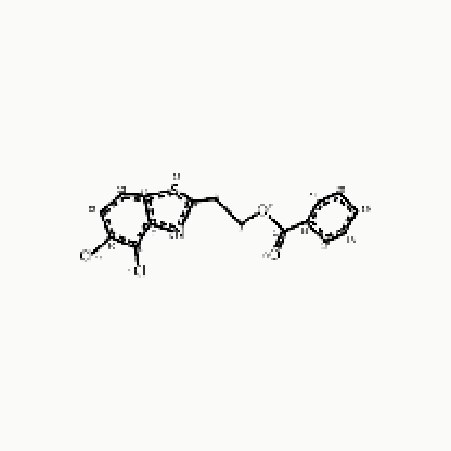 O=C(OCCc1nc2c(Cl)c(Cl)ccc2s1)c1ccccc1